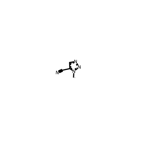 [CH2]n1nncc1C#N